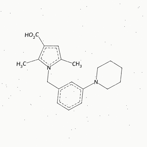 Cc1cc(C(=O)O)c(C)n1Cc1cccc(N2CCCCC2)c1